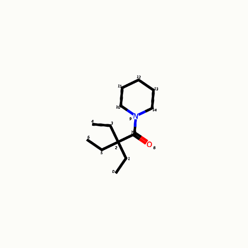 CCC(CC)(CC)C(=O)N1CCCCC1